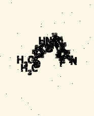 COC(C)c1ccc(CC(=O)Nc2ccn(Cc3ccc(F)c(C#N)c3)n2)cc1